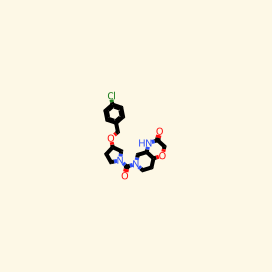 O=C1COC2CCN(C(=O)N3CCC(OCc4ccc(Cl)cc4)C3)CC2N1